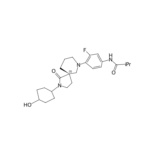 CC(C)C(=O)Nc1ccc(N2CCC[C@]3(CCN(C4CCC(O)CC4)C3=O)C2)c(F)c1